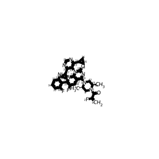 C=C(F)C(=O)N1C[C@H](C)N(c2nc(=O)n(-c3c(C4CC4)ncnc3C3CC3)c3nc(-c4c(N)cccc4F)c(F)cc23)C[C@H]1C